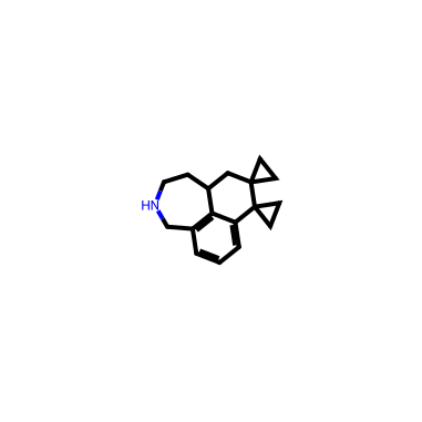 c1cc2c3c(c1)C1(CC1)C1(CC1)CC3CCNC2